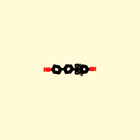 CC(C)(c1ccc(O)cc1)c1ccc(-c2ccc(O)cc2)cc1